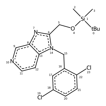 CC(C)(C)[Si](C)(C)OCc1nc2cnccc2n1Cc1cc(Cl)ccc1Cl